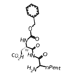 CCCCCC(N)C(=O)NC(=O)[C@H](CC(=O)O)NC(=O)OCc1ccccc1